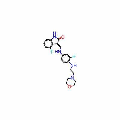 O=C1Nc2cccc(F)c2/C1=C\Nc1ccc(NCCN2CCOCC2)c(F)c1